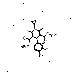 CCCCOC(=O)C1=C(C)N(C2CC2)C(C)=C(C(=O)OCCC)C1c1ccc(F)c(F)c1F